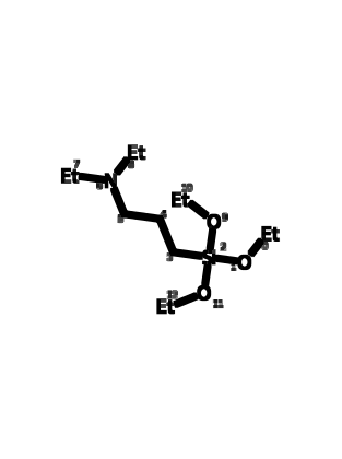 CCO[Si](CCCN(CC)CC)(OCC)OCC